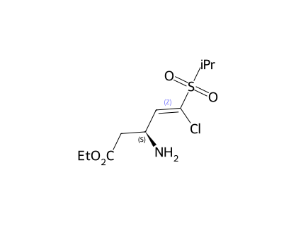 CCOC(=O)C[C@H](N)/C=C(\Cl)S(=O)(=O)C(C)C